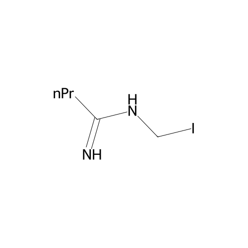 CCCC(=N)NCI